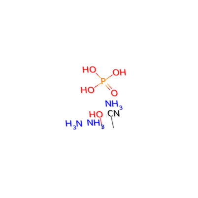 CC#N.CO.N.N.N.O=P(O)(O)O